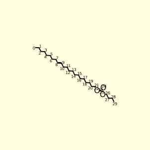 CCCCCCCCC=CCCCCCCCCCCCCOC(=O)OCCCC